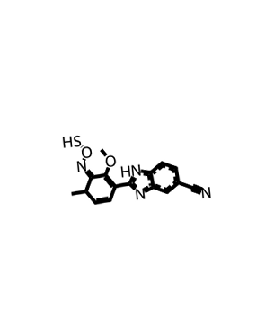 COC1=C(c2nc3cc(C#N)ccc3[nH]2)C=CC(C)C1=NOS